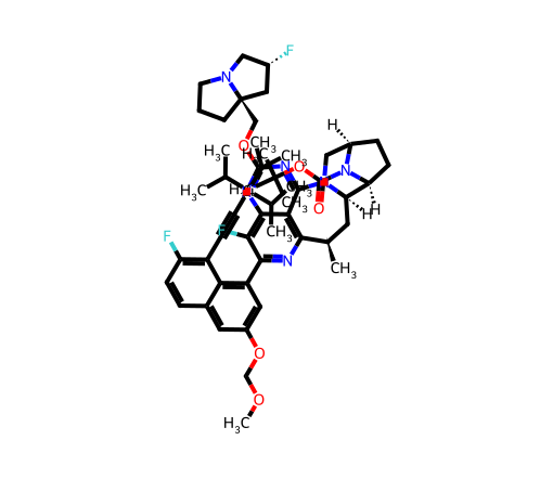 COCOc1cc(-c2nc3c4c(nc(OC[C@@]56CCCN5C[C@H](F)C6)nc4c2F)N2C[C@H]4CC[C@@H]([C@H]2C[C@H]3C)N4C(=O)OC(C)(C)C)c2c(C#C[Si](C(C)C)(C(C)C)C(C)C)c(F)ccc2c1